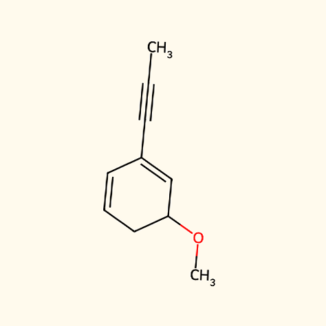 CC#CC1=CC(OC)CC=C1